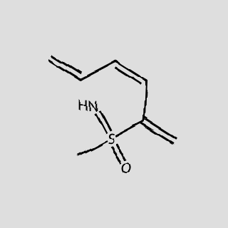 C=C/C=C\C(=C)S(C)(=N)=O